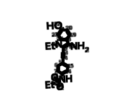 CCn1c(C#Cc2ccc(NS(=O)(=O)CC)cc2)c(N)c2ccc(O)cc21